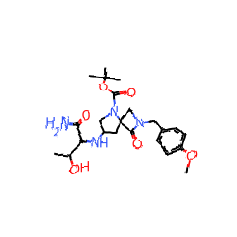 COc1ccc(CN2CC3(CC(NC(C(N)=O)C(C)O)CN3C(=O)OC(C)(C)C)C2=O)cc1